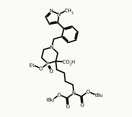 CCOP1(=O)CCN(Cc2ccccc2-c2ccnn2C)CC1(CCCCN(C(=O)OC(C)(C)C)C(=O)OC(C)(C)C)C(=O)O